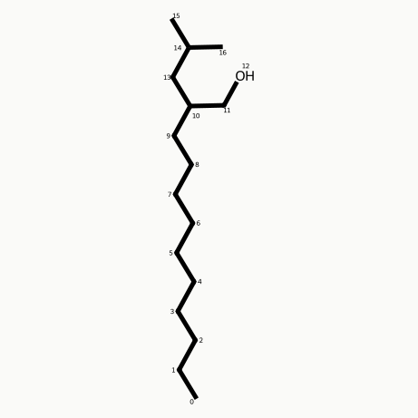 CCCCCCCCCCC(CO)CC(C)C